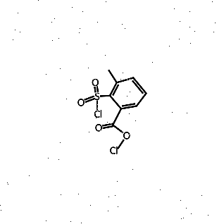 Cc1cccc(C(=O)OCl)c1S(=O)(=O)Cl